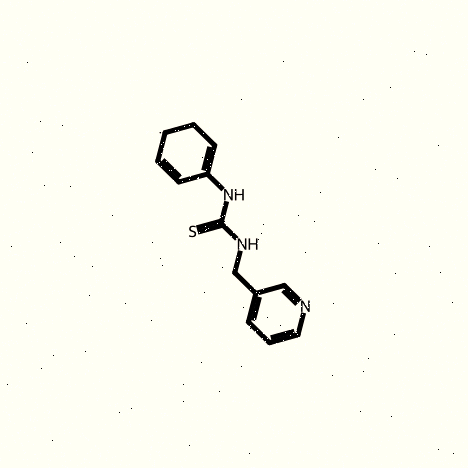 S=C(NCc1cccnc1)NC1=CC[CH]C=C1